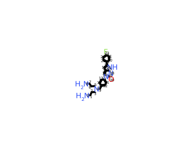 NCCCN(CCCN)Cc1ccc(-n2cc3cc(-c4ccc(F)cc4)[nH]c3nc2=O)cc1